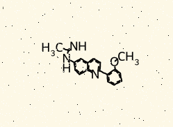 COc1ccccc1-c1ccc2cc(NC(C)=N)ccc2n1